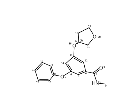 CNC(=O)c1cc(Oc2ccccc2)cc(O[C@H]2CCOC2)c1